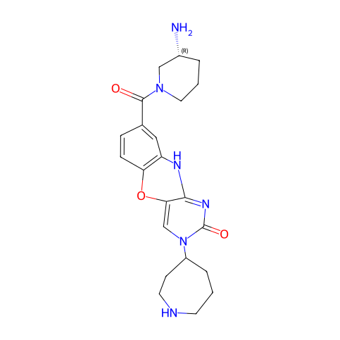 N[C@@H]1CCCN(C(=O)c2ccc3c(c2)Nc2nc(=O)n(C4CCCNCC4)cc2O3)C1